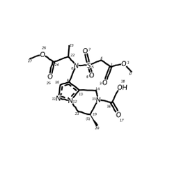 COC(=O)CS(=O)(=O)N(c1cnn2c1CN(C(=O)O)[C@@H](C)C2)C(C)C(=O)OC